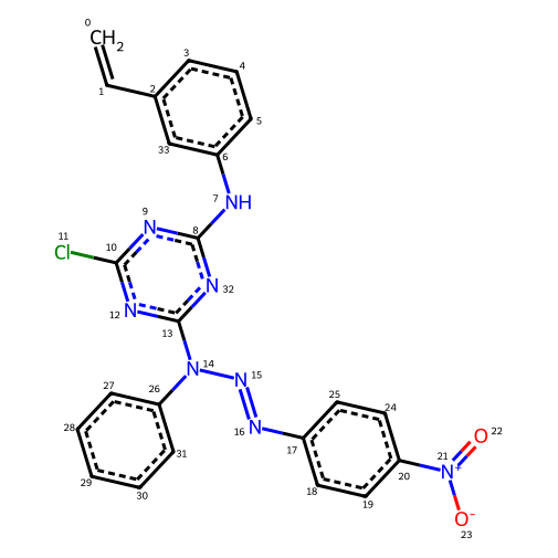 C=Cc1cccc(Nc2nc(Cl)nc(N(N=Nc3ccc([N+](=O)[O-])cc3)c3ccccc3)n2)c1